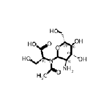 CC(=O)N(C1O[C@H](CO)[C@@H](O)[C@H](O)[C@H]1N)[C@@H](CO)C(=O)O